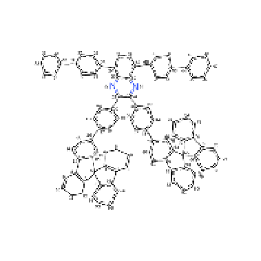 C1=CC2=C(CC1)C1(C3=C(C=CCC3)c3ccc(-c4ccc(-c5nc6c(-c7ccc(-c8ccccc8)cc7)ccc(-c7ccc(-c8ccccc8)cc7)c6nc5-c5ccc(-c6ccc7c(c6)C6(c8ccccc8-c8ccccc86)c6ccccc6-7)cc5)cc4)cc31)c1ccccc12